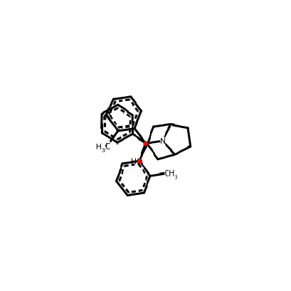 Cc1ccccc1C(c1ccccc1C)N1C2CCC1CC(O)(c1ccccc1)C2